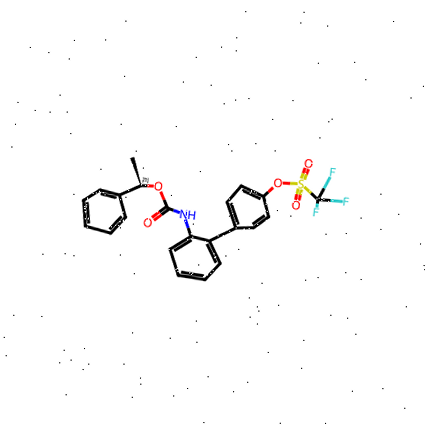 C[C@@H](OC(=O)Nc1ccccc1-c1ccc(OS(=O)(=O)C(F)(F)F)cc1)c1ccccc1